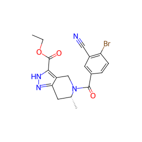 CCOC(=O)c1[nH]nc2c1CN(C(=O)c1ccc(Br)c(C#N)c1)[C@H](C)C2